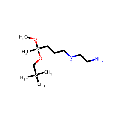 CO[Si](C)(CCCNCCN)OC[Si](C)(C)C